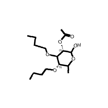 CCCCOC1[C@H](OC(C)=O)C(O)OC(C)[C@@H]1OCCCC